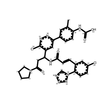 Cc1cc(-c2cc(C(CC(=O)N3CCCC3)NC(=O)C=Cc3cc(Cl)ccc3-n3cnnn3)c(Cl)nn2)ccc1NC(=O)O